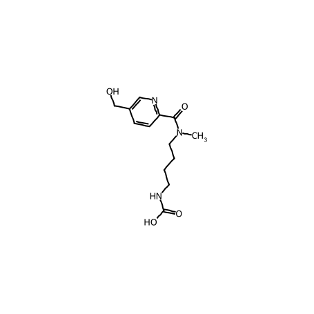 CN(CCCCNC(=O)O)C(=O)c1ccc(CO)cn1